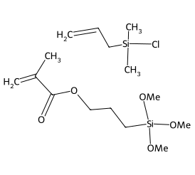 C=C(C)C(=O)OCCC[Si](OC)(OC)OC.C=CC[Si](C)(C)Cl